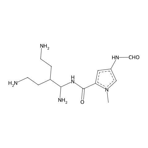 Cn1cc(NC=O)cc1C(=O)NC(N)C(CCN)CCN